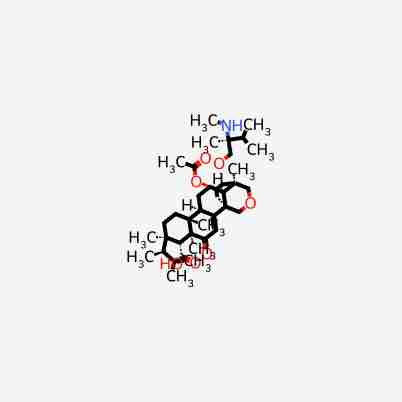 CN[C@](C)(CO[C@H]1[C@H](OC(C)=O)C[C@@]23COC[C@@]1(C)[C@@H]2CC[C@H]1C3=CC(=O)[C@@]2(C)[C@H](C(=O)O)[C@@](C)([C@H](C)C(C)C)CC[C@]12C)C(C)C